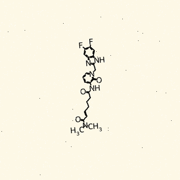 CN(C)C(=O)/C=C/CCCC(=O)Nc1cccn(Cc2nc3cc(F)c(F)cc3[nH]2)c1=O